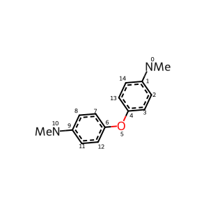 CNc1ccc(Oc2ccc(NC)cc2)cc1